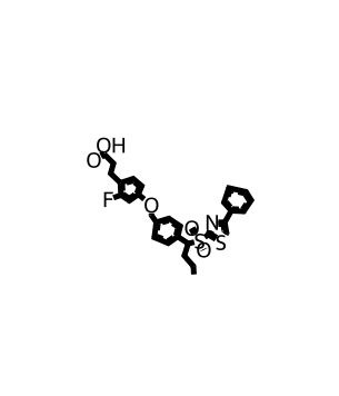 CCCC(c1ccc(COc2ccc(CCC(=O)O)c(F)c2)cc1)S(=O)(=O)c1nc(-c2ccccc2)cs1